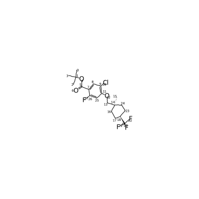 CC(C)(C)OC(=O)c1cc(Cl)c(OC[C@]2(C)CC[C@H](C(F)(F)F)CC2)cc1F